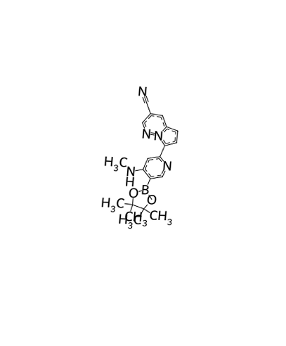 CNc1cc(-c2ccc3cc(C#N)cnn23)ncc1B1OC(C)(C)C(C)(C)O1